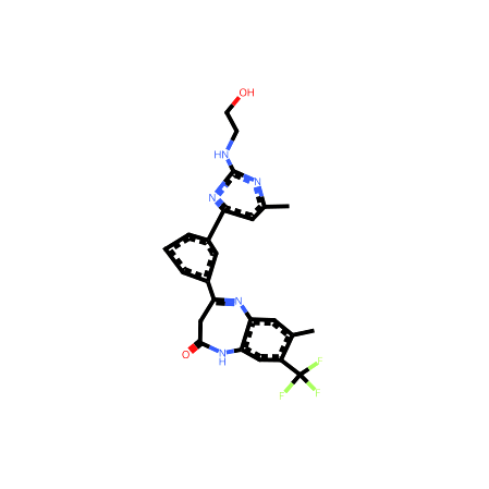 Cc1cc(-c2cccc(C3=Nc4cc(C)c(C(F)(F)F)cc4NC(=O)C3)c2)nc(NCCO)n1